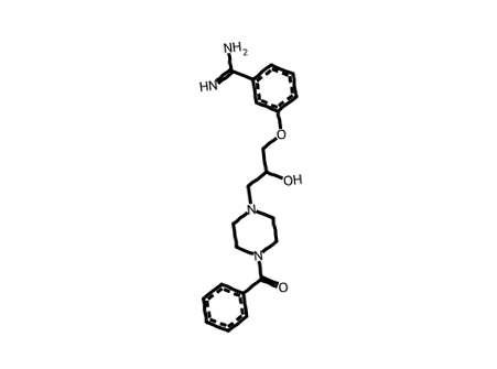 N=C(N)c1cccc(OCC(O)CN2CCN(C(=O)c3ccccc3)CC2)c1